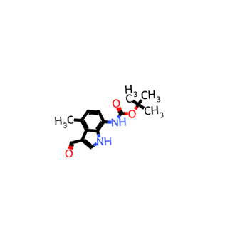 Cc1ccc(NC(=O)OC(C)(C)C)c2[nH]cc(C=O)c12